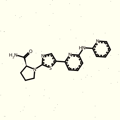 NC(=O)[C@@H]1CCCN1c1ncc(-c2cccc(Nc3ccccn3)n2)s1